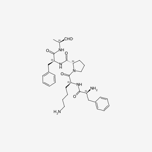 C[C@@H]([C]=O)NC(=O)[C@H](Cc1ccccc1)NC(=O)[C@@H]1CCCN1C(=O)[C@H](CCCCN)NC(=O)[C@@H](N)Cc1ccccc1